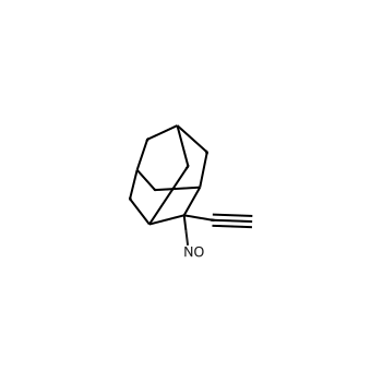 C#CC1(N=O)C2CC3CC(C2)CC1C3